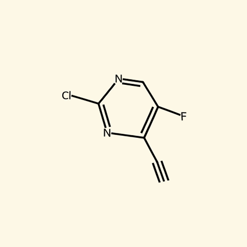 C#Cc1nc(Cl)ncc1F